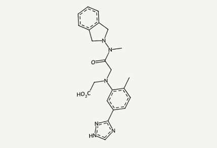 Cc1ccc(-c2nc[nH]n2)cc1N(CC(=O)O)CC(=O)N(C)N1Cc2ccccc2C1